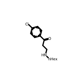 CCCCCCNCCC(=O)c1ccc(Cl)cc1